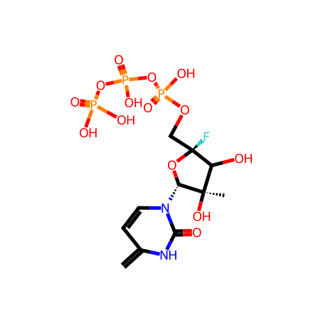 C=C1C=CN([C@@H]2O[C@](F)(COP(=O)(O)OP(=O)(O)OP(=O)(O)O)C(O)[C@@]2(C)O)C(=O)N1